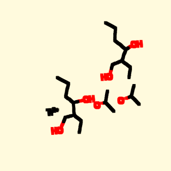 CC(C)[O-].CC(C)[O-].CCCC(O)C(CC)CO.CCCC(O)C(CC)CO.[Ti+2]